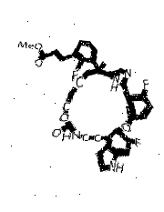 COC(=O)CCc1cccc(C2(C)CCCCOC(=O)NCCc3c(c(F)cc4[nH]ccc34)Oc3ccc(F)c(c3)-c3ncc2[nH]3)c1F